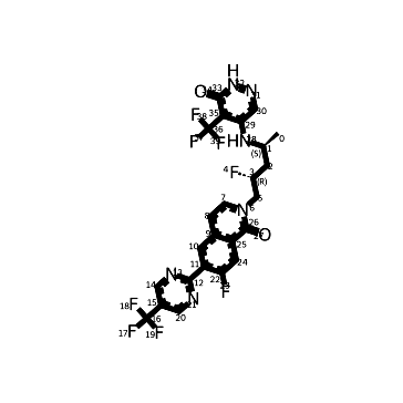 C[C@@H](C[C@@H](F)Cn1ccc2cc(-c3ncc(C(F)(F)F)cn3)c(F)cc2c1=O)Nc1cn[nH]c(=O)c1C(F)(F)F